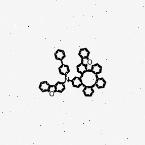 c1ccc(-c2ccc(N(c3ccc4oc5ccccc5c4c3)c3ccc4c5ccccc5c5ccccc5c5ccccc5c5c(ccc6c7ccccc7oc65)c4c3)cc2)cc1